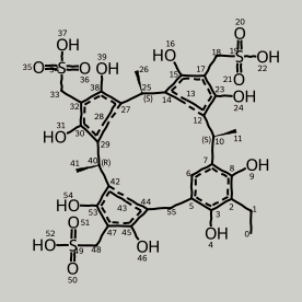 CCc1c(O)c2cc(c1O)[C@H](C)c1cc(c(O)c(CS(=O)(=O)O)c1O)[C@H](C)c1cc(c(O)c(CS(=O)(=O)O)c1O)[C@H](C)c1cc(c(O)c(CS(=O)(=O)O)c1O)C2